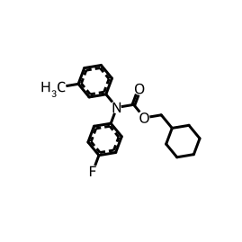 Cc1cccc(N(C(=O)OCC2CCCCC2)c2ccc(F)cc2)c1